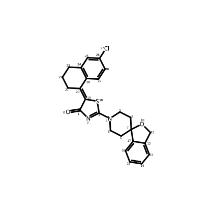 O=C1N=C(N2CCC3(CC2)OCc2ccccc23)S/C1=C1/CCCc2cc(Cl)ccc21